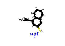 C#Cc1cc(SN)cc2ccccc12